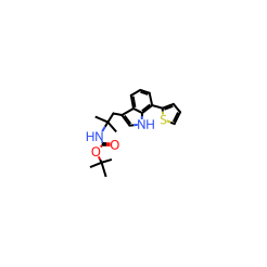 CC(C)(Cc1c[nH]c2c(-c3cccs3)cccc12)NC(=O)OC(C)(C)C